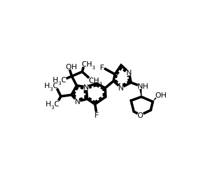 CC(C)c1nc2c(F)cc(-c3nc(N[C@@H]4CCOC[C@H]4O)ncc3F)cn2c1C(C)(O)C(C)C